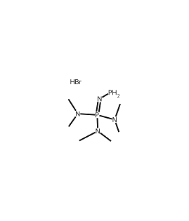 Br.CN(C)P(=NP)(N(C)C)N(C)C